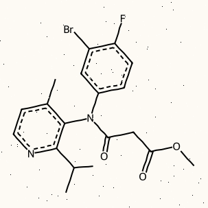 COC(=O)CC(=O)N(c1ccc(F)c(Br)c1)c1c(C)ccnc1C(C)C